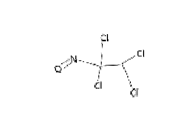 O=NC(Cl)(Cl)C(Cl)Cl